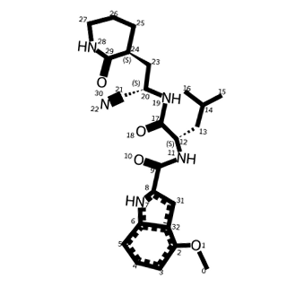 COc1cccc2[nH]c(C(=O)N[C@@H](CC(C)C)C(=O)N[C@H](C#N)C[C@@H]3CCCNC3=O)cc12